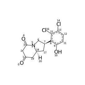 O=C1CC(=O)N2C[C@@H](c3c(O)ccc(Cl)c3Cl)C[C@H]2C1